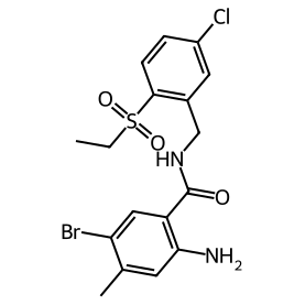 CCS(=O)(=O)c1ccc(Cl)cc1CNC(=O)c1cc(Br)c(C)cc1N